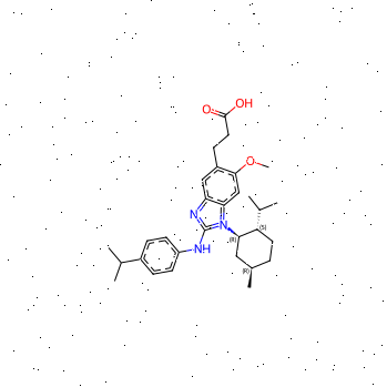 COc1cc2c(cc1CCC(=O)O)nc(Nc1ccc(C(C)C)cc1)n2[C@@H]1C[C@H](C)CC[C@H]1C(C)C